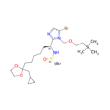 CC(C)(C)[S@+]([O-])N[C@@H](CCCCCC1(CC2CC2)OCCO1)c1ncc(Br)n1COCC[Si](C)(C)C